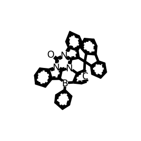 O=c1n2c3ccccc3c3c2n2c4c(c5ccccc5n14)C1(c4ccccc4-c4ccccc41)c1cccc(c1-2)B3c1ccccc1